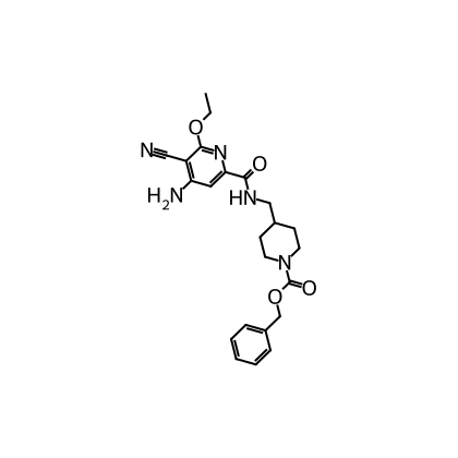 CCOc1nc(C(=O)NCC2CCN(C(=O)OCc3ccccc3)CC2)cc(N)c1C#N